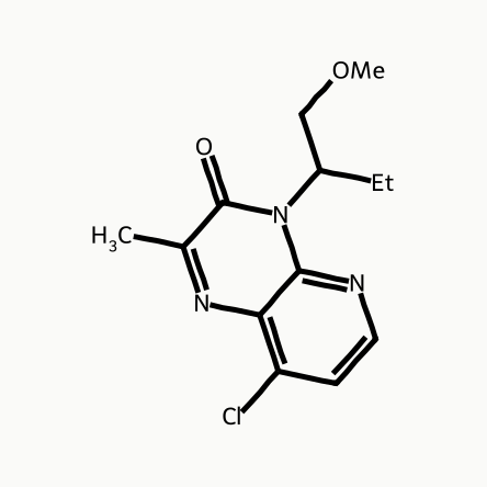 CCC(COC)n1c(=O)c(C)nc2c(Cl)ccnc21